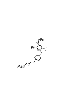 CCCCOc1cc(Cl)c(Cc2ccc(CCOCOC)cc2)cc1Br